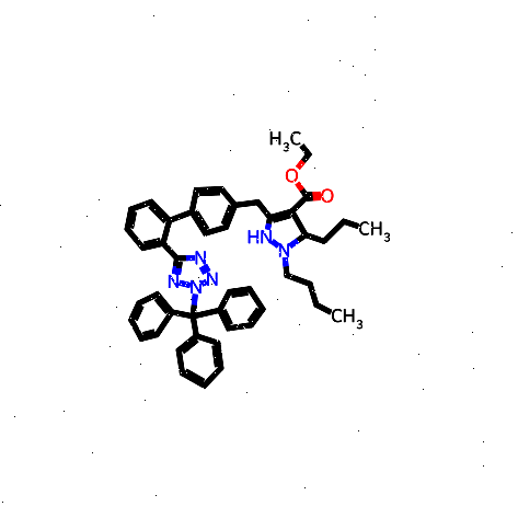 CCCCN1NC(Cc2ccc(-c3ccccc3-c3nnn(C(c4ccccc4)(c4ccccc4)c4ccccc4)n3)cc2)=C(C(=O)OCC)C1CCC